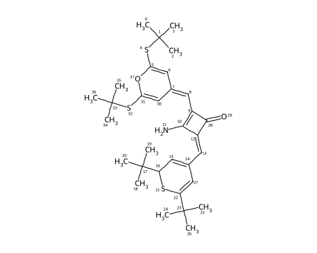 CC(C)(C)SC1=CC(=CC2=C(N)C(=CC3=CC(C(C)(C)C)SC(C(C)(C)C)=C3)C2=O)C=C(SC(C)(C)C)O1